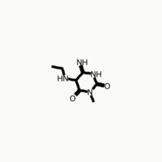 CCNC1C(=N)NC(=O)N(C)C1=O